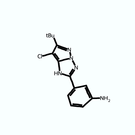 CC(C)(C)c1nn2nc(-c3cccc(N)c3)[nH]c2c1Cl